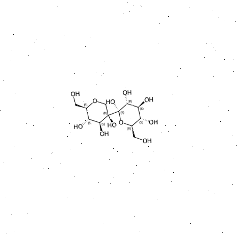 OC[C@H]1OC[C@](O)([C@]2(O)O[C@H](CO)[C@@H](O)[C@H](O)[C@H]2O)[C@@H](O)[C@@H]1O